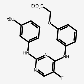 CCOC(=O)COc1cccc(Nc2nc(Nc3cccc(C(C)(C)C)c3)ncc2F)c1